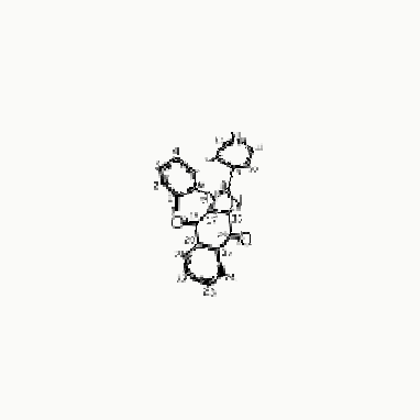 Cc1ccccc1-n1c(-c2ccncc2)nc2c1C(=O)c1ccccc1C2=O